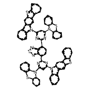 c1ccc2c(c1)Sc1ccccc1N2c1cc(-n2c3ccccc3c3cc4sc5ccccc5c4cc32)nc(-c2ccc(-c3nc(N4c5ccccc5Sc5ccccc54)cc(-n4c5ccccc5c5cc6sc7ccccc7c6cc54)n3)c3nsnc23)n1